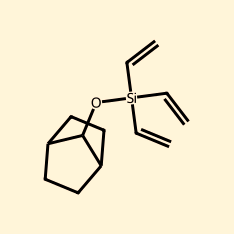 C=C[Si](C=C)(C=C)OC1C2CCC1CC2